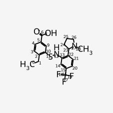 CCc1ccc(C(=O)O)cc1SNc1cc(C(F)(F)F)ccc1C1CCCN1C